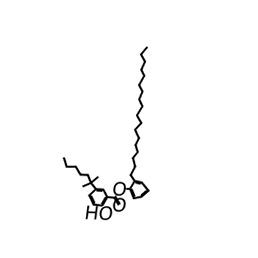 CCCCCCCCCCCCCCCCCCc1ccccc1OC(=O)c1cc(C(C)(C)CCCCC)ccc1O